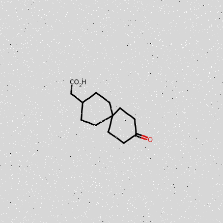 O=C(O)CC1CCC2(CCC(=O)CC2)CC1